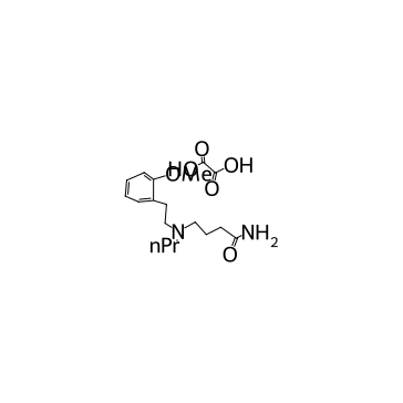 CCCN(CCCC(N)=O)CCc1ccccc1OC.O=C(O)C(=O)O